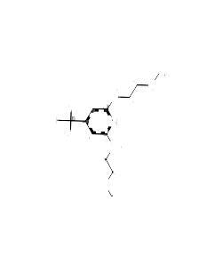 COCCOc1cc(C(Cl)(Cl)Cl)cc(OCCOC)n1